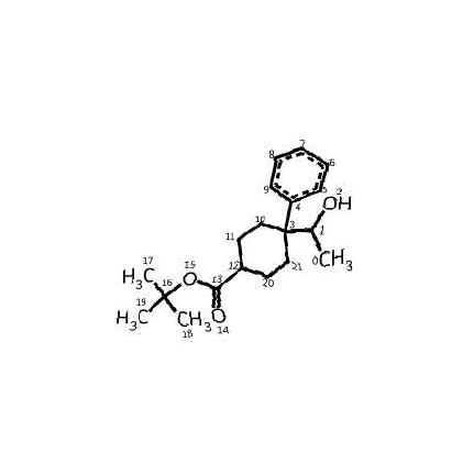 CC(O)C1(c2ccccc2)CCC(C(=O)OC(C)(C)C)CC1